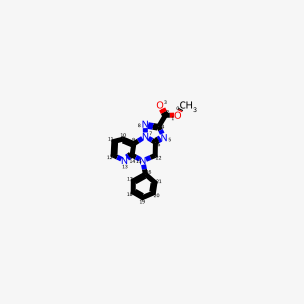 COC(=O)c1nc2n(n1)-c1cccnc1N(c1ccccc1)C2